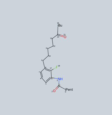 CCCC(C)C(=O)Nc1cccc(CCCCCC(=O)C(C)CC)c1F